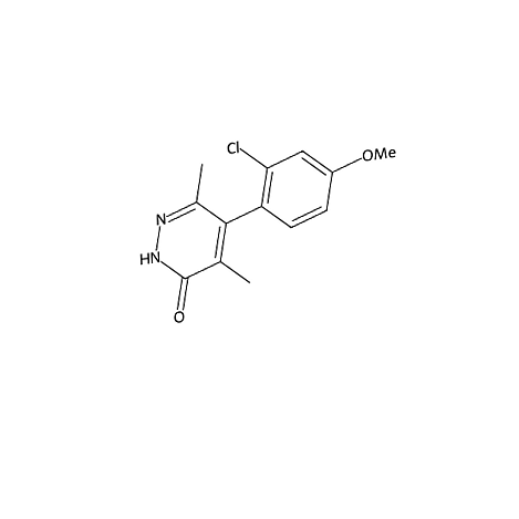 COc1ccc(-c2c(C)n[nH]c(=O)c2C)c(Cl)c1